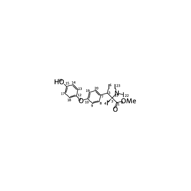 COC(=O)[C@](I)(C(I)c1ccc(Oc2ccc(O)cc2)cc1)N(I)I